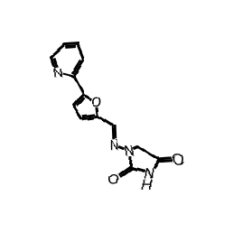 O=C1CN(N=Cc2ccc(-c3ccccn3)o2)C(=O)N1